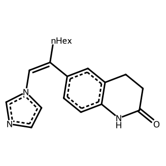 CCCCCC/C(=C/n1ccnc1)c1ccc2c(c1)CCC(=O)N2